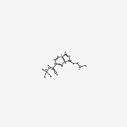 COCCn1cnc2ccc(C(=O)OC(C)(C)C)cc21